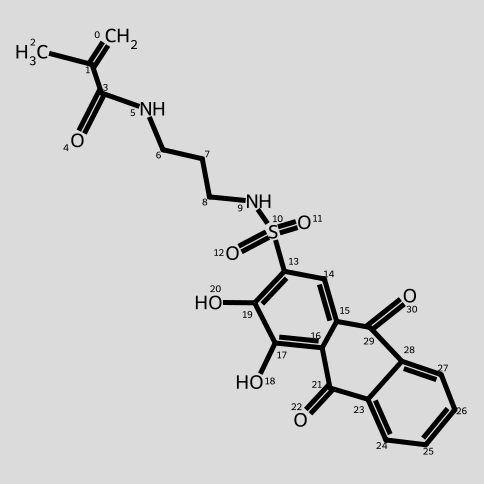 C=C(C)C(=O)NCCCNS(=O)(=O)c1cc2c(c(O)c1O)C(=O)c1ccccc1C2=O